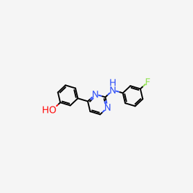 Oc1cccc(-c2ccnc(Nc3cccc(F)c3)n2)c1